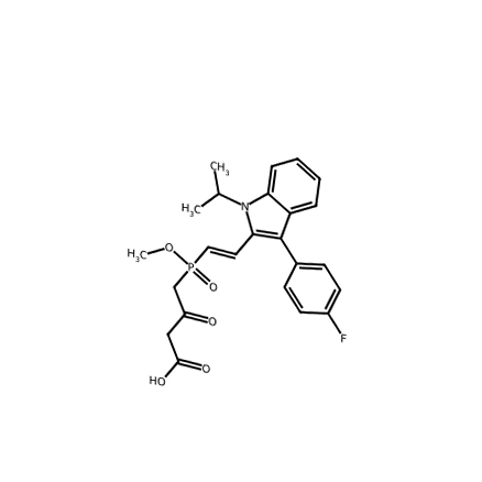 COP(=O)(/C=C/c1c(-c2ccc(F)cc2)c2ccccc2n1C(C)C)CC(=O)CC(=O)O